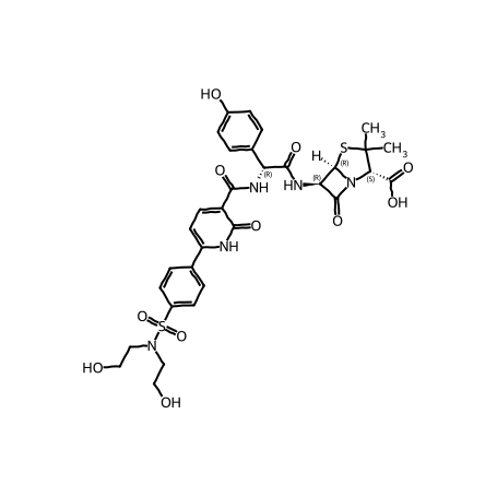 CC1(C)S[C@@H]2[C@H](NC(=O)[C@H](NC(=O)c3ccc(-c4ccc(S(=O)(=O)N(CCO)CCO)cc4)[nH]c3=O)c3ccc(O)cc3)C(=O)N2[C@H]1C(=O)O